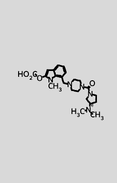 CN(C)[C@H]1CCN(C(=O)N2CCN(Cc3cccc4cc(OC(=O)O)n(C)c34)CC2)C1